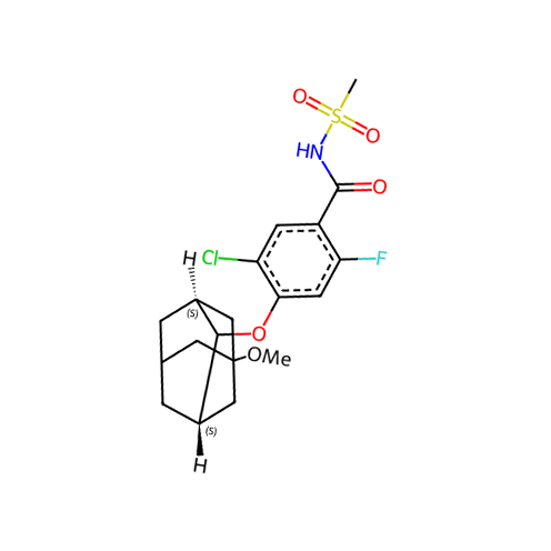 COC12CC3C[C@@H](C1)C(Oc1cc(F)c(C(=O)NS(C)(=O)=O)cc1Cl)[C@@H](C3)C2